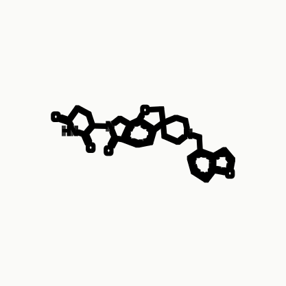 O=C1CCC(N2Cc3c(ccc4c3OCC43CCN(Cc4cccc5occc45)CC3)C2=O)C(=O)N1